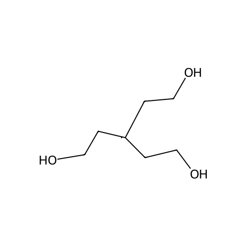 OCC[C](CCO)CCO